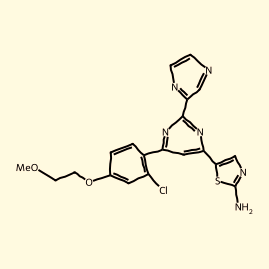 COCCOc1ccc(-c2cc(-c3cnc(N)s3)nc(-c3cnccn3)n2)c(Cl)c1